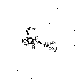 CCCCCCCCCCCCO[C@@H]1C[C@H](C(=O)NCCCC[C@H](NC(C)C)C(=O)O)[C@@H](O)[C@H](O)C1O